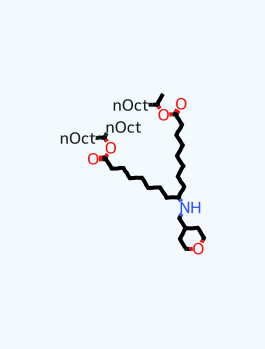 CCCCCCCCC(C)OC(=O)CCCCCCCC(CCCCCCCC(=O)OC(CCCCCCCC)CCCCCCCC)NCC1CCOCC1